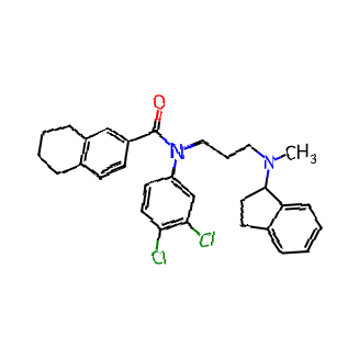 CN(CCCN(C(=O)c1ccc2c(c1)CCCC2)c1ccc(Cl)c(Cl)c1)C1CCc2ccccc21